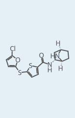 O=C(N[C@@H]1C[C@H]2CC[C@@H]1N2)c1ccc(Sc2ccc(Cl)o2)s1